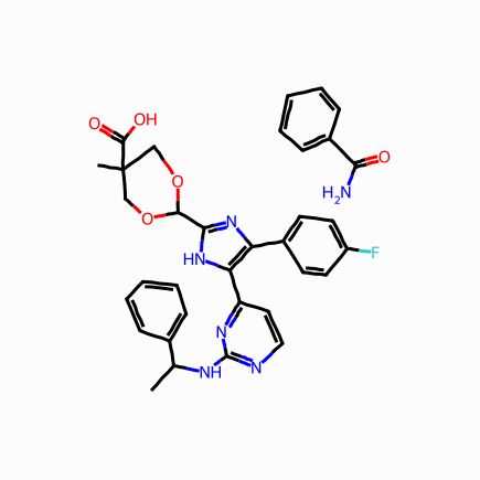 CC(Nc1nccc(-c2[nH]c(C3OCC(C)(C(=O)O)CO3)nc2-c2ccc(F)cc2)n1)c1ccccc1.NC(=O)c1ccccc1